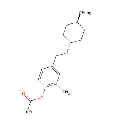 CCCCC[C@H]1CC[C@H](CCc2ccc(OC(=O)CCC)c(C)c2)CC1